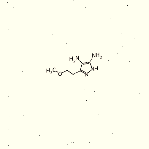 COCCc1n[nH]c(N)c1N